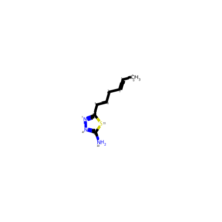 C/C=C/CCCc1nnc(N)s1